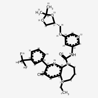 CCN1CCCN(C(=O)Nc2cncc(OC[C@@H]3COC(C)(C)O3)c2)c2nc(-c3cccc(C(F)(F)F)c3)c(Cl)cc21